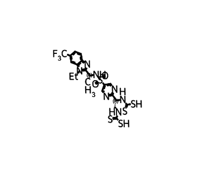 CCn1c([C@@H](C)NS(=O)(=O)c2cnc([C@@H](CNC(=S)S)NC(=S)S)nc2)nc2ccc(C(F)(F)F)cc21